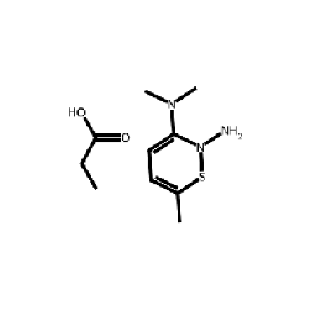 CC1=CC=C(N(C)C)N(N)S1.CCC(=O)O